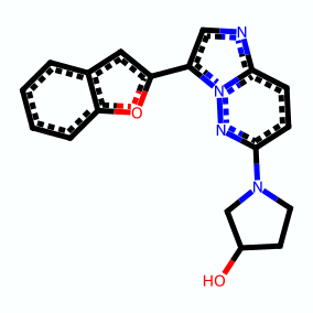 OC1CCN(c2ccc3ncc(-c4cc5ccccc5o4)n3n2)C1